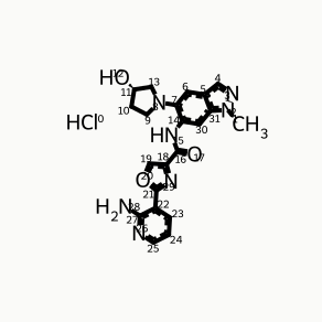 Cl.Cn1ncc2cc(N3CC[C@H](O)C3)c(NC(=O)c3coc(-c4cccnc4N)n3)cc21